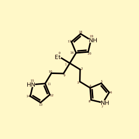 [CH2]CC(CCc1cc[nH]c1)(CCc1ccc[nH]1)c1cc[nH]c1